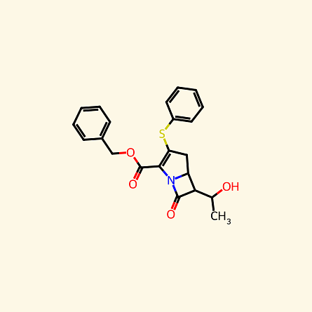 CC(O)C1C(=O)N2C(C(=O)OCc3ccccc3)=C(Sc3ccccc3)CC12